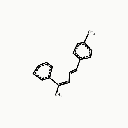 CC(=CC=Cc1ccc(C)cc1)c1ccccc1